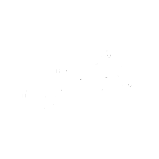 COC(=O)c1ccc(B(O)OC(C)(C)C(C)(C)O)cc1OC